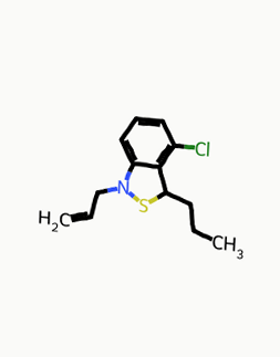 C=CCN1SC(CCC)c2c(Cl)cccc21